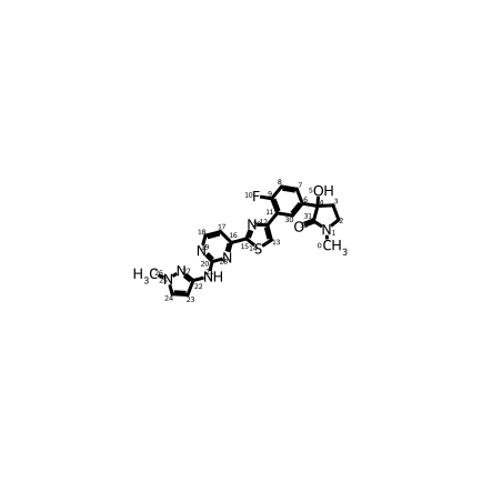 CN1CCC(O)(c2ccc(F)c(-c3csc(-c4ccnc(Nc5ccn(C)n5)n4)n3)c2)C1=O